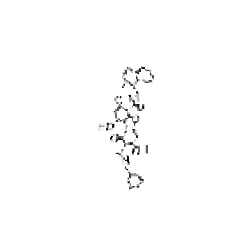 COc1cc(O)c2c(c1C(=O)NCc1c(C)ccc3ccccc13)OC1=CC(O)=C(C(C)=NCc3ccccc3)C(=O)[C@]12C